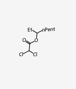 CCCCCC(CC)OC(=O)C(Cl)Cl